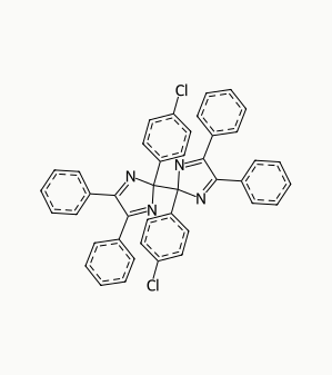 Clc1ccc(C2(C3(c4ccc(Cl)cc4)N=C(c4ccccc4)C(c4ccccc4)=N3)N=C(c3ccccc3)C(c3ccccc3)=N2)cc1